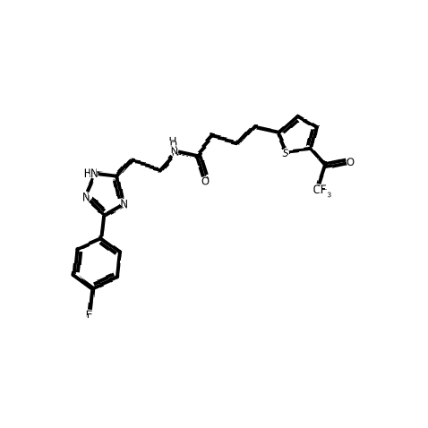 O=C(CCCc1ccc(C(=O)C(F)(F)F)s1)NCCc1nc(-c2ccc(F)cc2)n[nH]1